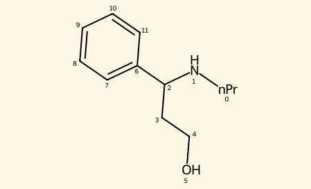 CCCNC(CCO)c1ccccc1